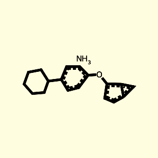 N.c1cc(C2CCCCC2)ccc1Oc1ccc2cc1-2